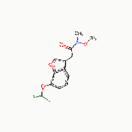 CON(C)C(=O)Cc1coc2c(OC(F)F)cccc12